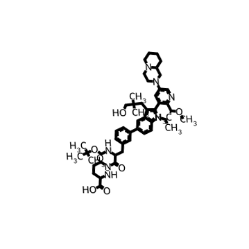 CCn1c(-c2cc(N3CCN4CCCCC4C3)cnc2[C@H](C)OC)c(CC(C)(C)CO)c2cc(-c3cccc(CC(NC(=O)OC(C)(C)C)C(=O)N4CCCC(C(=O)O)N4)c3)ccc21